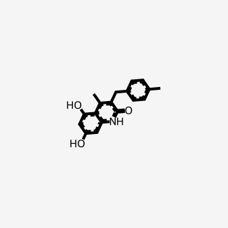 Cc1ccc(Cc2c(C)c3c(O)cc(O)cc3[nH]c2=O)cc1